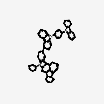 c1ccc(-n2c3ccc(-c4ccc5c(c4)c4ccccc4n5-c4ccc(-n5c6ccccc6c6ccccc65)cc4)cc3c3c4cccc5c4c(cc32)-c2ccccc2-5)cc1